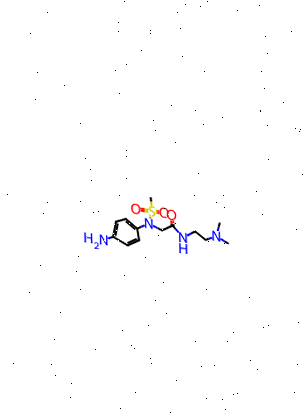 CN(C)CCNC(=O)CN(c1ccc(N)cc1)S(C)(=O)=O